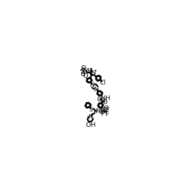 Cc1c(C(=O)NS(C)(=O)=O)c(-c2cccc(N3CCN(c4ccc(NS(=O)(=O)c5ccc(N[C@@H](CCN6CCC(O)CC6)CSc6ccccc6)c(S(=O)(=O)C(F)(F)F)c5)cc4)CC3)c2)c(-c2ccc(Cl)cc2)n1C